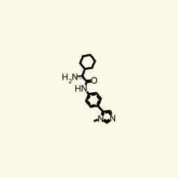 Cn1cncc1-c1ccc(NC(=O)[C@@H](N)C2CCCCC2)cc1